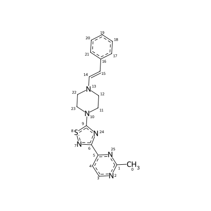 Cc1nccc(-c2nsc(N3CCN(C=Cc4ccccc4)CC3)n2)n1